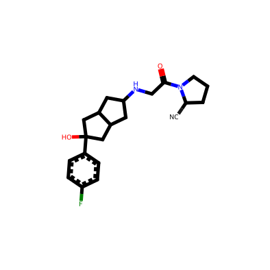 N#CC1CCCN1C(=O)CNC1CC2CC(O)(c3ccc(F)cc3)CC2C1